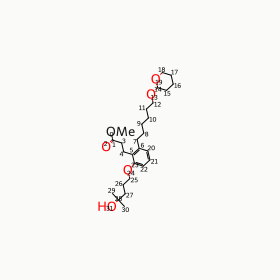 COC(=O)CCc1c(CCCCCCOC2CCCCO2)cccc1OCCCC(C)(C)O